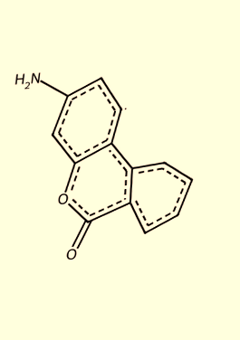 Nc1c[c]c2c(c1)oc(=O)c1ccccc12